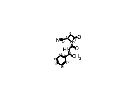 CC(NC(=O)N1C(=O)CC1C#N)c1ccccc1